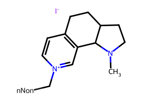 CCCCCCCCCC[n+]1ccc2c(c1)C1C(CC2)CCN1C.[I-]